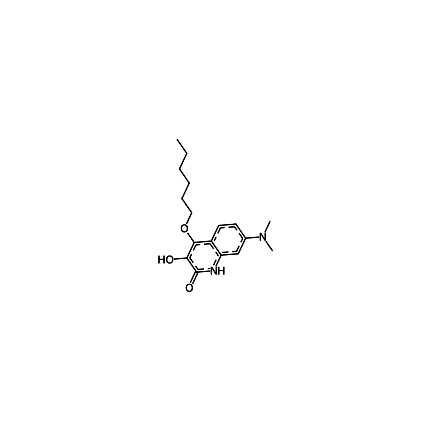 CCCCCCOc1c(O)c(=O)[nH]c2cc(N(C)C)ccc12